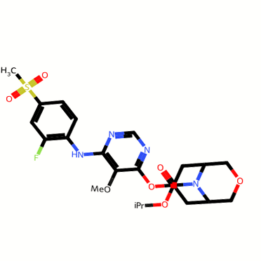 COc1c(Nc2ccc(S(C)(=O)=O)cc2F)ncnc1OC1CC2COCC(C1)N2C(=O)OC(C)C